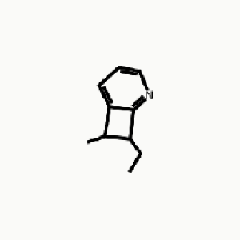 CCC1c2ncccc2C1C